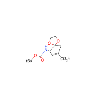 CC(C)(C)OC(=O)N[C@H]1C=C(C(=O)O)CC12OCCO2